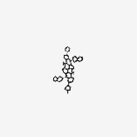 Cc1ccc(-c2ccc3c(c2)c(-c2ccc4ccccc4c2)c2ccc4nc5c6ccc(-c7ccc(C)cc7)cc6c(-c6ccc7ccccc7c6)c6ccc7nc3c2c4c7c65)cc1